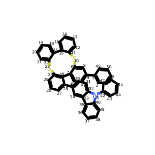 c1ccc(-c2ccc3c(c2)Sc2ccccc2-c2ccccc2Sc2cccc(-c4ccc5c(c4)c4ccccc4n5-c4ccccc4)c2-3)cc1